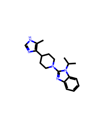 Cc1[nH]cnc1C1CCN(c2nc3ccccc3n2C(C)C)CC1